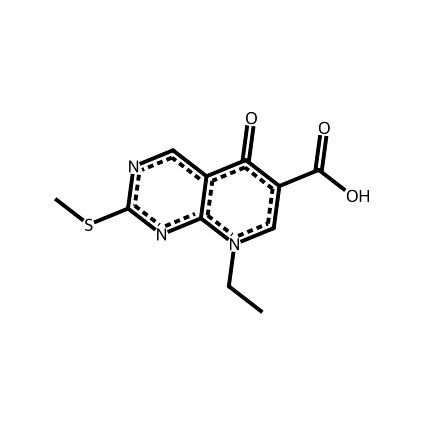 CCn1cc(C(=O)O)c(=O)c2cnc(SC)nc21